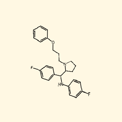 Fc1ccc(NC(c2ccc(F)cc2)C2CCCN2CCCOc2ccccc2)cc1